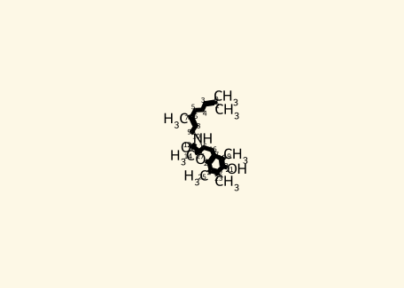 CC(C)=CCC/C(C)=C/CNC(=O)C1(C)CCc2c(C)c(O)c(C)c(C)c2O1